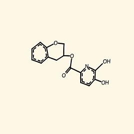 O=C(OC1COc2ccccc2C1)c1ccc(O)c(O)n1